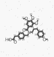 COc1ccc(CCCN(Cc2ccc(CC(=O)O)cc2)C(=O)c2cc(OC)c(OC)c(OC)c2)cc1